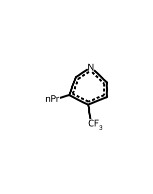 [CH2]CCc1cnccc1C(F)(F)F